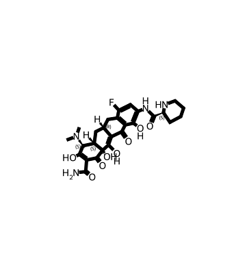 CN(C)[C@@H]1C(O)=C(C(N)=O)C(=O)[C@@]2(O)C(O)=C3C(=O)c4c(O)c(NC(=O)[C@@H]5CCCCN5)cc(F)c4C[C@H]3C[C@@H]12